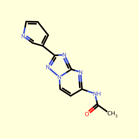 CC(=O)Nc1ccn2nc(-c3cccnc3)nc2n1